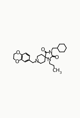 CCCN1C(=O)N(CC2CCCCC2)C(=O)C12CCN(Cc1ccc3c(c1)OCCO3)CC2